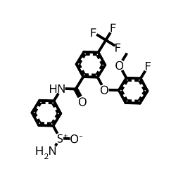 COc1c(F)cccc1Oc1cc(C(F)(F)F)ccc1C(=O)Nc1cccc([S+](N)[O-])c1